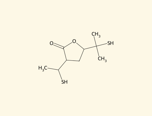 CC(S)C1CC(C(C)(C)S)OC1=O